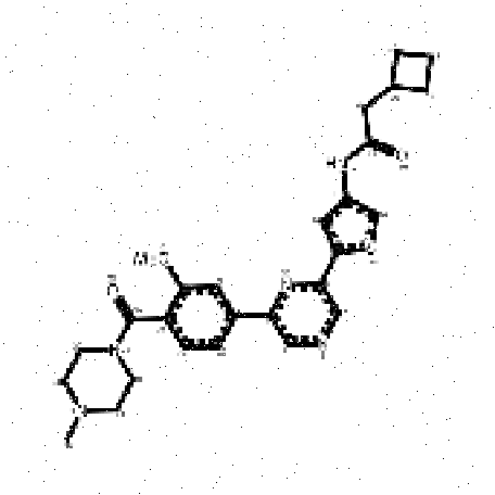 COc1cc(-c2cncc(-c3cc(NC(=O)CC4CCC4)cs3)n2)ccc1C(=O)N1CCN(C)CC1